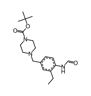 CCc1cc(CN2CCN(C(=O)OC(C)(C)C)CC2)ccc1NC=O